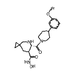 CC(C)Oc1cccc(C2CCN(C(=O)[C@H]3NCC4(CC4)CC3C(=O)NO)CC2)c1